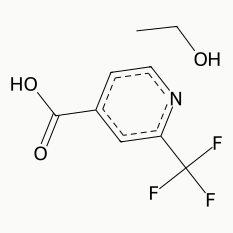 CCO.O=C(O)c1ccnc(C(F)(F)F)c1